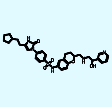 O=c1[nH]c(CCC2CCCC2)cn1-c1ccc(S(=O)(=O)Nc2ccc3c(c2)CCC(CNCC(O)c2cccnc2)O3)cc1